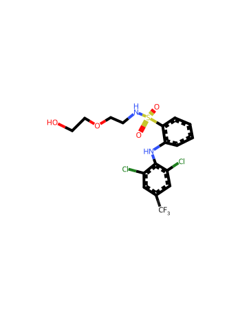 O=S(=O)(NCCOCCO)c1ccccc1Nc1c(Cl)cc(C(F)(F)F)cc1Cl